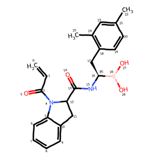 C=CC(=O)N1c2ccccc2CC1C(=O)N[C@@H](Cc1ccc(C)cc1C)B(O)O